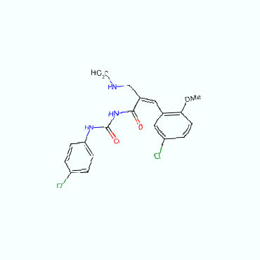 COc1ccc(Cl)cc1C=C(CNC(=O)O)C(=O)NC(=O)Nc1ccc(Cl)cc1